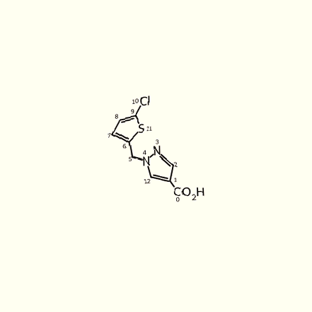 O=C(O)c1cnn(Cc2ccc(Cl)s2)c1